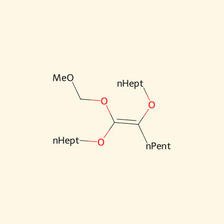 CCCCCCCOC(CCCCC)=C(OCCCCCCC)OCOC